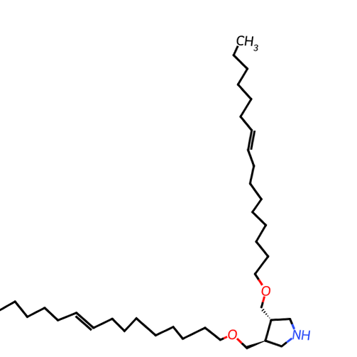 CCCCCCC=CCCCCCCCCOC[C@@H]1CNC[C@H]1COCCCCCCCCC=CCCCCCC